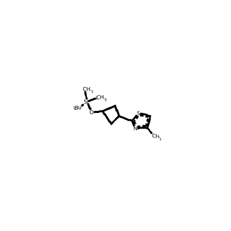 Cc1csc(C2CC(O[Si](C)(C)C(C)(C)C)C2)n1